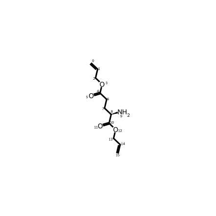 C=CCOC(=O)CC[C@@H](N)C(=O)OCC=C